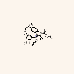 CO/C(=C1\C(=O)N(C(C)=O)c2ccc(C(C)=O)cc21)c1cc(Cl)cc(Cl)c1